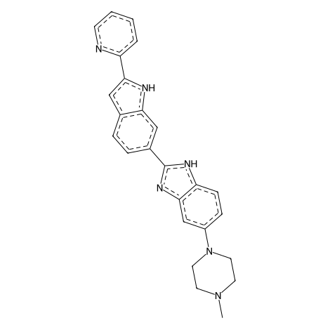 CN1CCN(c2ccc3[nH]c(-c4ccc5cc(-c6ccccn6)[nH]c5c4)nc3c2)CC1